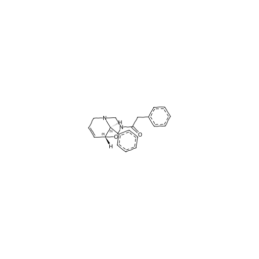 O=C(Cc1ccccc1)N1CN2CC=C[C@@H](O1)[C@@H]2c1ccccc1